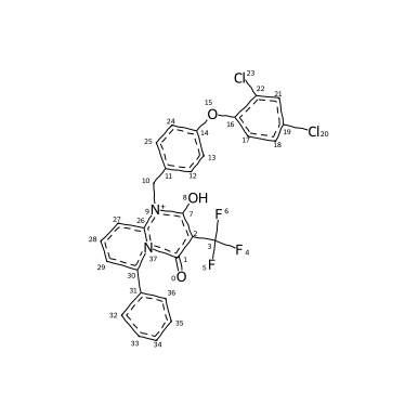 O=c1c(C(F)(F)F)c(O)[n+](Cc2ccc(Oc3ccc(Cl)cc3Cl)cc2)c2cccc(-c3ccccc3)n12